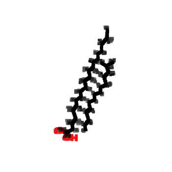 CCCCCCCCCCCCCC(C)C.CCCCCCCCCCCCCCCCCCCCC(=O)O